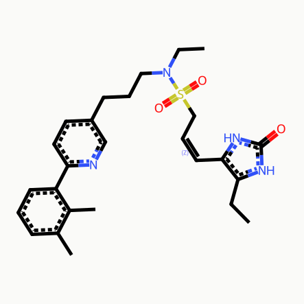 CCc1[nH]c(=O)[nH]c1/C=C\CS(=O)(=O)N(CC)CCCc1ccc(-c2cccc(C)c2C)nc1